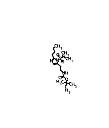 CCCCc1ncc(CCNC(=O)OC(C)(C)C)n1S(=O)(=O)N(C)C